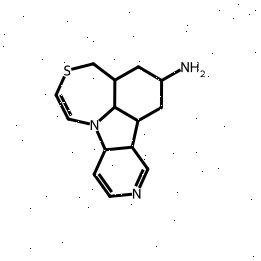 NC1CC2CSC=CN3C4C=CN=CC4C(C1)C23